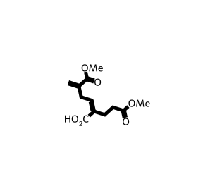 C=C(CC=C(CCC(=O)OC)C(=O)O)C(=O)OC